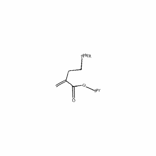 C=C(CCCCCCCC)C(=O)OC(C)C